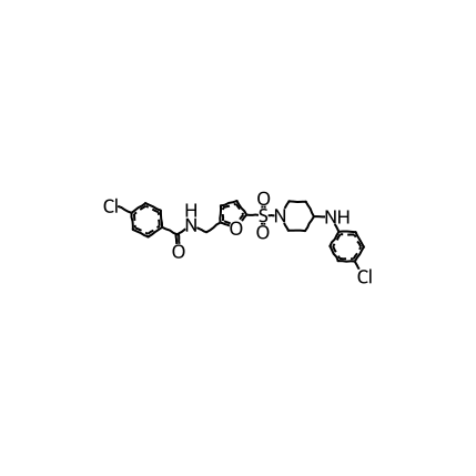 O=C(NCc1ccc(S(=O)(=O)N2CCC(Nc3ccc(Cl)cc3)CC2)o1)c1ccc(Cl)cc1